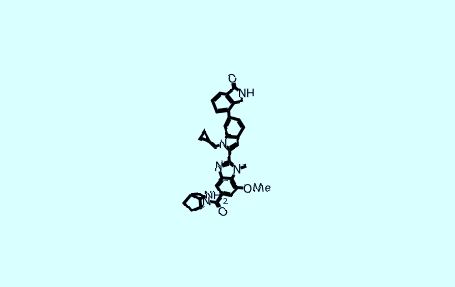 COc1cc(C(=O)N2CC3CCC2C3N)cc2nc(-c3cc4ccc(-c5cccc6c5CNC6=O)cc4n3CC3CC3)n(C)c12